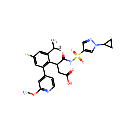 COc1cc(-c2cc(F)cc(C(C)C)c2C(CC(=O)O)C(=O)NS(=O)(=O)c2cnn(C3CC3)c2)ccn1